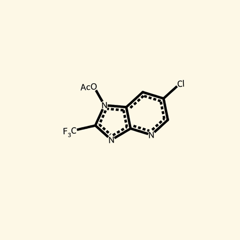 CC(=O)On1c(C(F)(F)F)nc2ncc(Cl)cc21